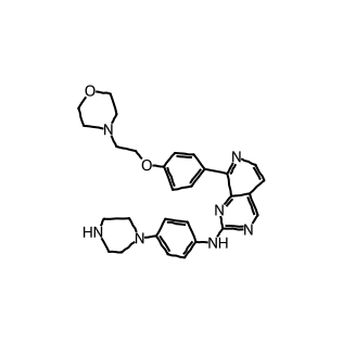 c1cc2cnc(Nc3ccc(N4CCNCC4)cc3)nc2c(-c2ccc(OCCN3CCOCC3)cc2)n1